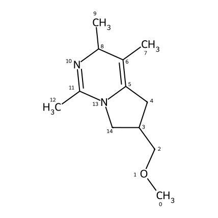 COCC1CC2=C(C)C(C)N=C(C)N2C1